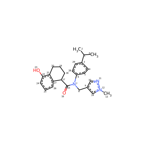 CC(C)c1ccc(N(Cc2cnn(C)c2)C(=O)C2CCCc3c(O)cccc32)cc1